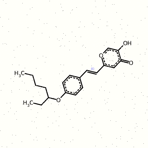 CCCCC(CC)Oc1ccc(/C=C/c2cc(=O)c(O)co2)cc1